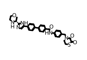 O=C1SCCN(Cc2ccc(NC(=O)c3ccc(-c4ccc(-c5cnc([C@@H]6COCCN6)[nH]5)cc4)cc3)cc2)C1=O